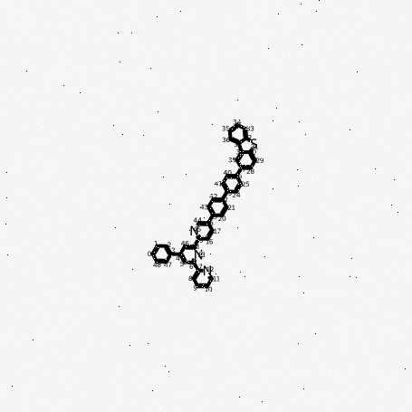 c1ccc(-c2cc(-c3ccccn3)nc(-c3ccc(-c4ccc(-c5ccc(-c6ccc7sc8ccccc8c7c6)cc5)cc4)cn3)c2)cc1